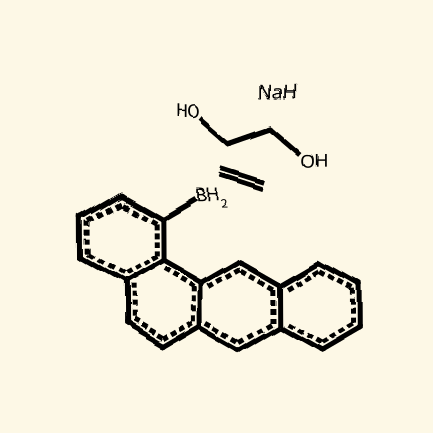 Bc1cccc2ccc3cc4ccccc4cc3c12.C=C.OCCO.[NaH]